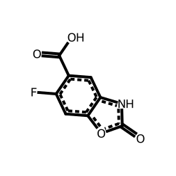 O=C(O)c1cc2[nH]c(=O)oc2cc1F